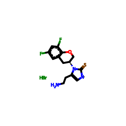 Br.NCCC1=C[N]C(=S)N1[C@H]1COc2c(F)cc(F)cc2C1